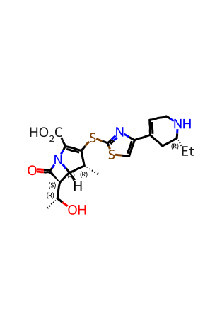 CC[C@@H]1CC(c2csc(SC3=C(C(=O)O)N4C(=O)[C@H]([C@@H](C)O)[C@H]4[C@H]3C)n2)=CCN1